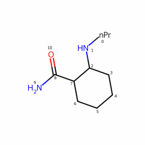 CCCNC1CCCCC1C(N)=O